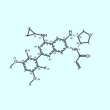 C=CC(=O)N[C@H]1COC[C@H]1Nc1cc2c(NC3CC3)nc(-c3c(F)c(OC)cc(OC)c3F)nc2cn1